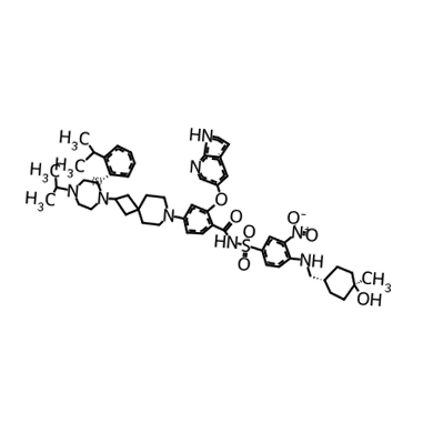 CC(C)c1ccccc1[C@H]1CN(C(C)C)CCN1C1CC2(CCN(c3ccc(C(=O)NS(=O)(=O)c4ccc(NC[C@H]5CC[C@](C)(O)CC5)c([N+](=O)[O-])c4)c(Oc4cnc5[nH]ccc5c4)c3)CC2)C1